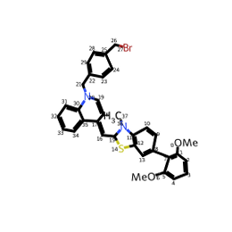 COc1cccc(OC)c1-c1ccc2c(c1)SC(C=C1C=CN(Cc3ccc(CBr)cc3)c3ccccc31)N2C